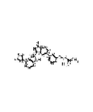 CN(C)CCOc1cncc(-c2cnc3[nH]nc(-c4cc5c(-c6ccsc6)nccc5[nH]4)c3c2)c1